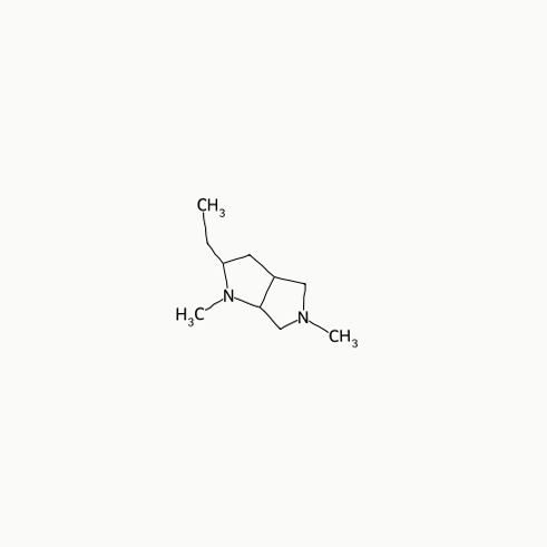 CCC1CC2CN(C)CC2N1C